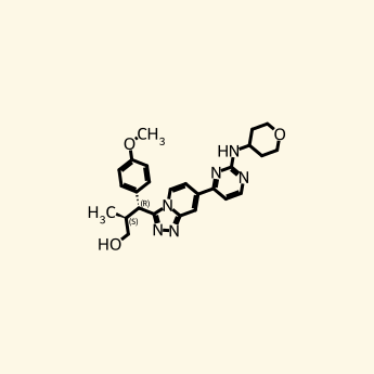 COc1ccc([C@H](c2nnc3cc(-c4ccnc(NC5CCOCC5)n4)ccn23)[C@H](C)CO)cc1